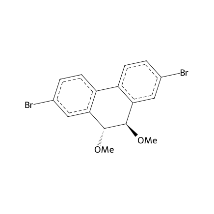 CO[C@@H]1c2cc(Br)ccc2-c2ccc(Br)cc2[C@H]1OC